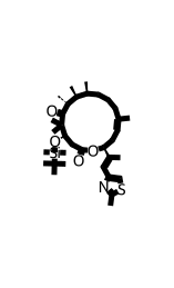 C/C1=C/C[C@@H](/C(C)=C/c2csc(C)n2)OC(=O)C[C@H](O[Si](C)(C)C(C)(C)C)C(C)(C)C(=O)[C@H](C)[C@@H](C)[C@@H](C)CCC1